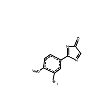 COc1ccc(C2=NC(=O)C=N2)cc1N